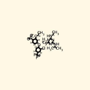 CCNc1nc(NC(C)C)nc(SC)n1.CCOc1cc(Oc2ccc(C(F)(F)F)cc2Cl)ccc1[N+](=O)[O-]